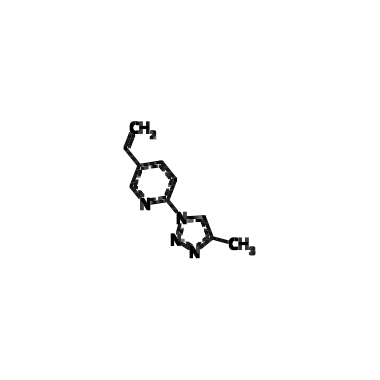 C=Cc1ccc(-n2cc(C)nn2)nc1